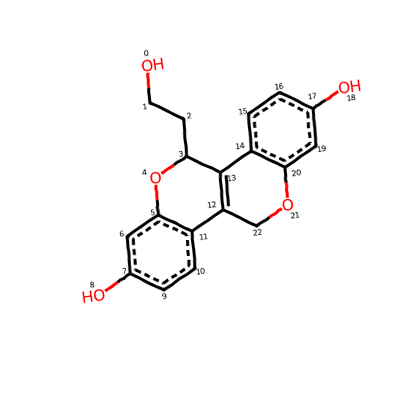 OCCC1Oc2cc(O)ccc2C2=C1c1ccc(O)cc1OC2